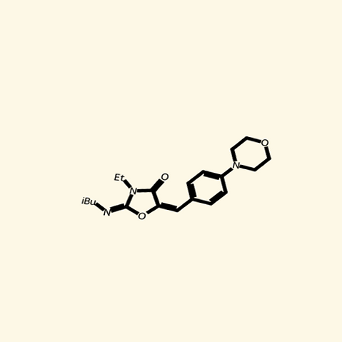 CCC(C)N=C1O/C(=C/c2ccc(N3CCOCC3)cc2)C(=O)N1CC